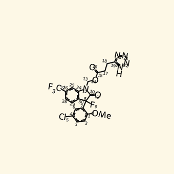 COc1ccc(Cl)cc1C1(F)C(=O)N(COC(=O)CCc2nnn[nH]2)c2cc(C(F)(F)F)ccc21